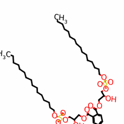 CCCCCCCCCCCCCCCCOS(=O)(=O)OCC(O)COC(=O)c1ccccc1C(=O)OCC(O)COS(=O)(=O)OCCCCCCCCCCCCCCCC